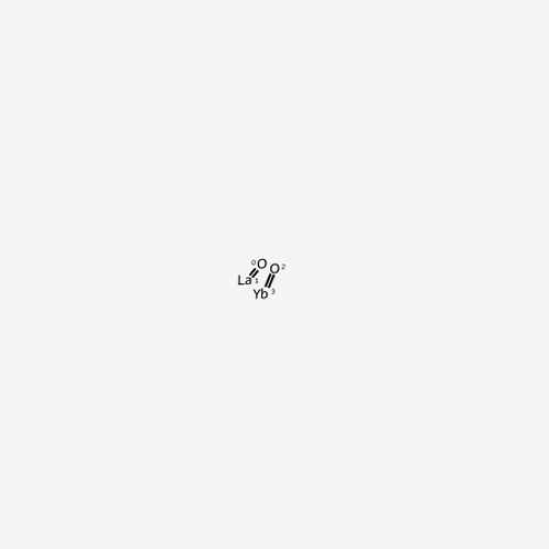 [O]=[La].[O]=[Yb]